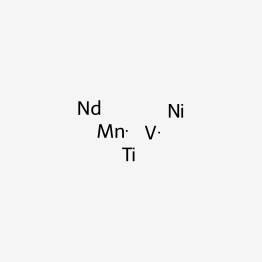 [Mn].[Nd].[Ni].[Ti].[V]